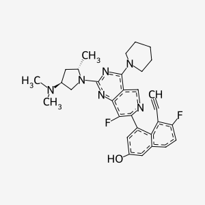 C#Cc1c(F)ccc2cc(O)cc(-c3ncc4c(N5CCCCC5)nc(N5C[C@@H](N(C)C)C[C@@H]5C)nc4c3F)c12